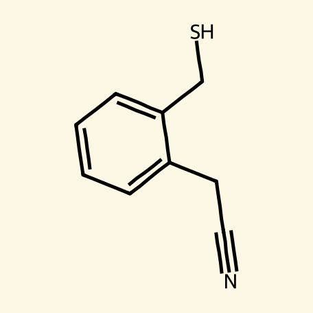 N#CCc1ccccc1CS